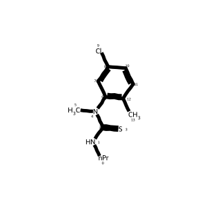 CCCNC(=S)N(C)c1cc(Cl)ccc1C